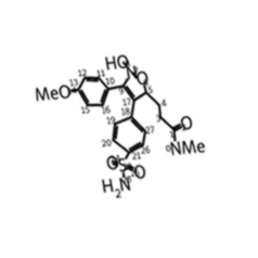 CNC(=O)CCC1ON(O)C(c2ccc(OC)cc2)=C1c1ccc(S(N)(=O)=O)cc1